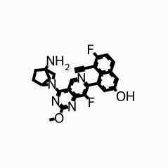 C#Cc1c(F)ccc2cc(O)cc(-c3ncc4c(N5CC6(N)CCC5C6)nc(OC)nc4c3F)c12